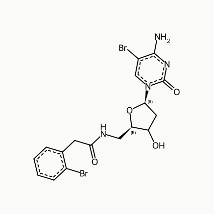 Nc1nc(=O)n([C@H]2CC(O)[C@@H](CNC(=O)Cc3ccccc3Br)O2)cc1Br